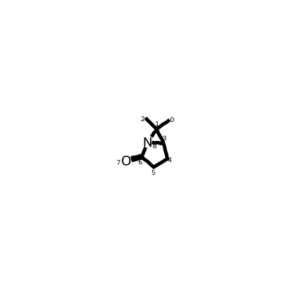 CC1(C)C2CCC(=O)N21